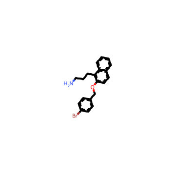 NCCCc1c(OCc2ccc(Br)cc2)ccc2ccccc12